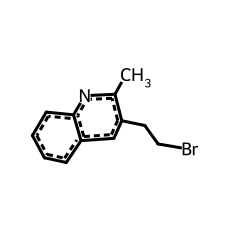 Cc1nc2ccccc2cc1CCBr